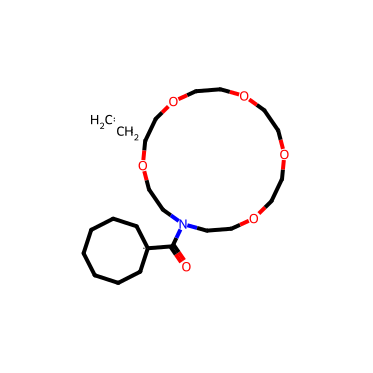 O=C([C]1CCCCCCC1)N1CCOCCOCCOCCOCCOCC1.[CH2].[CH2]